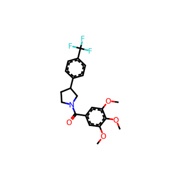 COc1cc(C(=O)N2CCC(c3ccc(C(F)(F)F)cc3)C2)cc(OC)c1OC